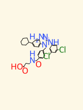 N/N=C(/Nc1cc(Cl)cc(Cl)c1)N(Cc1ccc(C(=O)NCCC(=O)O)cc1)c1ccc(C2CCCCC2)cc1